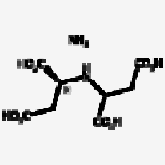 N.O=C(O)CC(N[C@@H](CC(=O)O)C(=O)O)C(=O)O